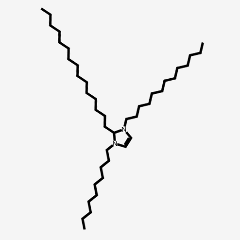 CCCCCCCCCCCCCCCC1N(CCCCCCCCCC)C=CN1CCCCCCCCCCCCC